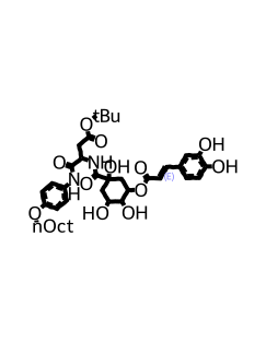 CCCCCCCCOc1ccc(NC(=O)C(CC(=O)OC(C)(C)C)NC(=O)C2(O)CC(O)C(O)C(OC(=O)/C=C/c3ccc(O)c(O)c3)C2)cc1